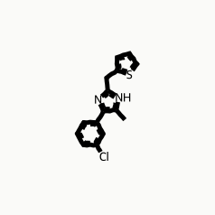 Cc1[nH]c(Cc2cccs2)nc1-c1cccc(Cl)c1